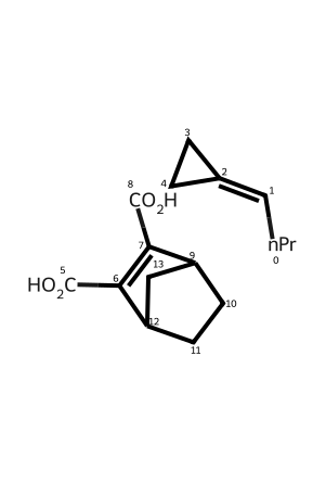 CCCC=C1CC1.O=C(O)C1=C(C(=O)O)C2CCC1C2